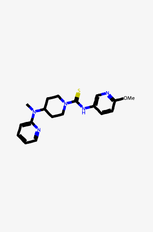 COc1ccc(NC(=S)N2CCC(N(C)c3ccccn3)CC2)cn1